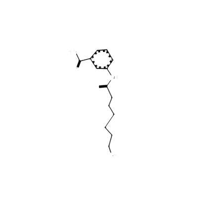 NC(=O)c1cccc(NC(=O)[CH]CCCCCS)c1